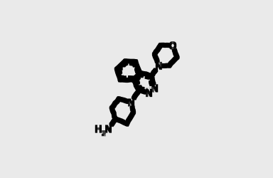 NC1CCN(c2nnc(N3CCOCC3)c3ccccc23)CC1